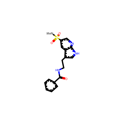 CNS(=O)(=O)c1cnc2[nH]cc(CCNC(=O)c3ccccc3)c2c1